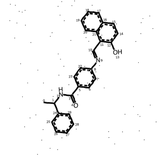 CC(NC(=O)c1ccc(N=Cc2c(O)ccc3ccccc23)cc1)c1ccccc1